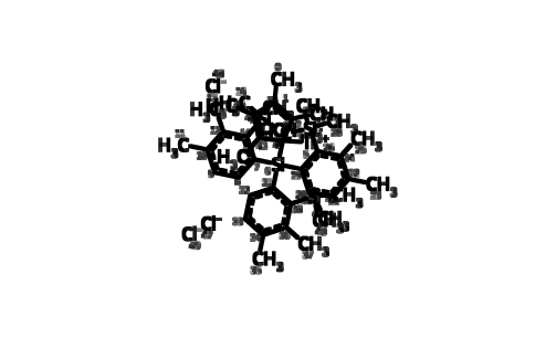 CC1=C(C)[C]([Ti+3])([Si](c2ccc(C)c(C)c2[Si](C)(C)C)(c2ccc(C)c(C)c2[Si](C)(C)C)c2ccc(C)c(C)c2[Si](C)(C)C)C(C)=C1C.[Cl-].[Cl-].[Cl-]